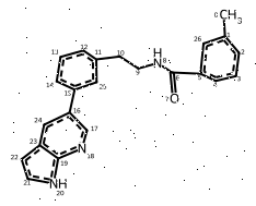 Cc1cccc(C(=O)NCCc2cccc(-c3cnc4[nH]ccc4c3)c2)c1